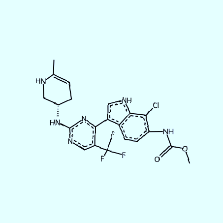 COC(=O)Nc1ccc2c(-c3nc(N[C@H]4CC=C(C)NC4)ncc3C(F)(F)F)c[nH]c2c1Cl